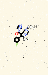 N#Cc1c(-c2cccc(F)c2)c(C(=O)n2ccnc2)c2n1CCN(C(=O)O)C2